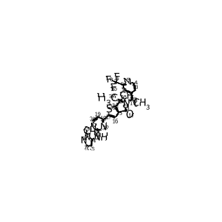 C[C@H](c1ccnc(C(F)(F)F)c1)N1C(=O)c2cc(-c3ccnc(Nc4ccnn4C)n3)sc2C1(C)C